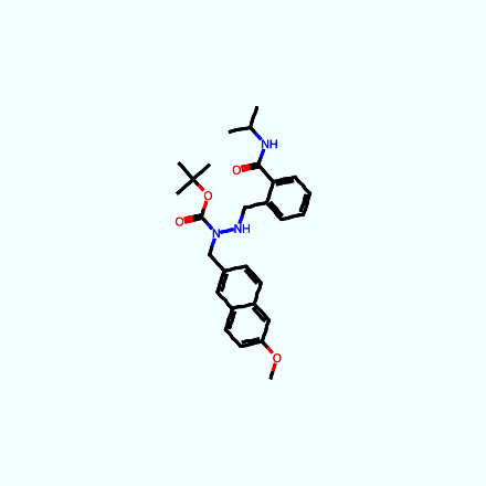 COc1ccc2cc(CN(NCc3ccccc3C(=O)NC(C)C)C(=O)OC(C)(C)C)ccc2c1